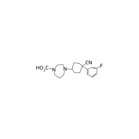 N#CC1(c2cccc(F)c2)CCC(N2CCCN(C(=O)O)CC2)CC1